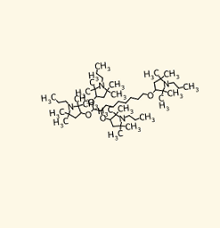 CCCN1C(C)(C)CC(OCCCCCCCC(OC2CC(C)(C)N(CCC)C2(C)C)C(OC2CC(C)(C)N(CCC)C2(C)C)OC2CC(C)(C)N(CCC)C2(C)C)C1(C)C